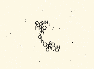 NC(=O)c1cccc(N2CCC(OC3CN(c4ccc5c(c4)C(=O)N(C4CCC(=O)NC4=O)C5=O)C3)CC2)c1NC1CCOCC1